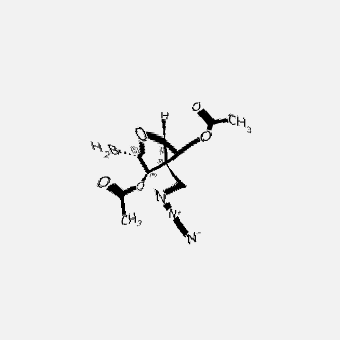 B[C@@H]1O[C@@H]2C(OC(C)=O)[C@]2(CN=[N+]=[N-])[C@H]1OC(C)=O